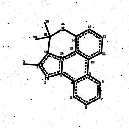 Cc1nc2c3ccccc3c3cccc4c3n2c1C(C)(C)S4